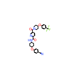 N#Cc1ccc(OC2CCC(NC(=O)c3ccc(C(=O)N4CCC(Oc5ccc(C(F)(F)F)cc5)CC4)cn3)CC2)cc1